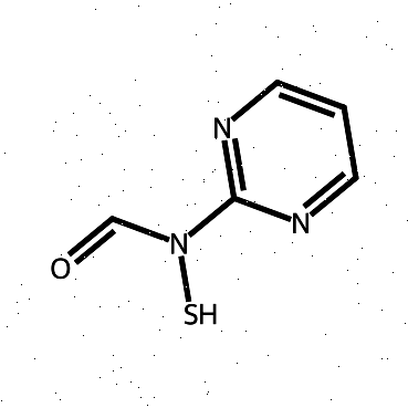 O=CN(S)c1ncccn1